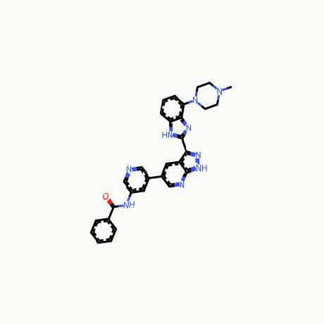 CN1CCN(c2cccc3[nH]c(-c4n[nH]c5ncc(-c6cncc(NC(=O)c7ccccc7)c6)cc45)nc23)CC1